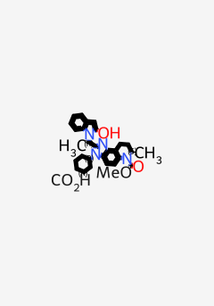 COC(=O)N1c2ccc3c(nc([C@@H](C)n4c(O)cc5ccccc54)n3[C@@H]3CCC[C@@H](C(=O)O)C3)c2CC[C@@H]1C